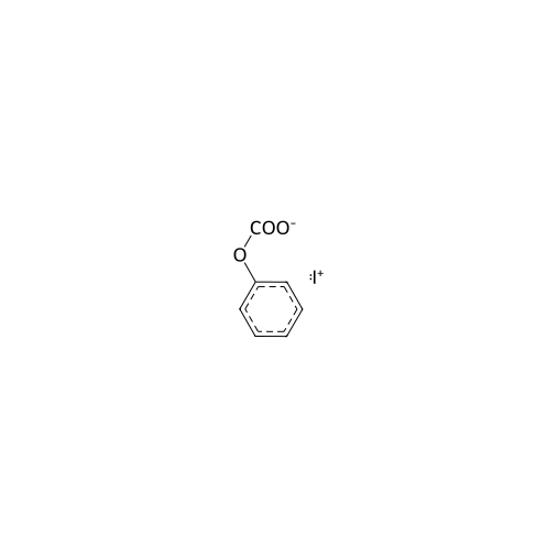 O=C([O-])Oc1ccccc1.[I+]